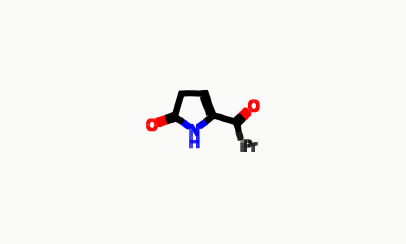 CC(C)C(=O)C1=CCC(=O)N1